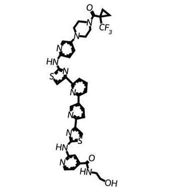 O=C(NCCO)c1ccnc(Nc2nc(-c3ccc(-c4cccc(-c5csc(Nc6ccc(N7CCN(C(=O)C8(C(F)(F)F)CC8)CC7)cn6)n5)n4)cn3)cs2)c1